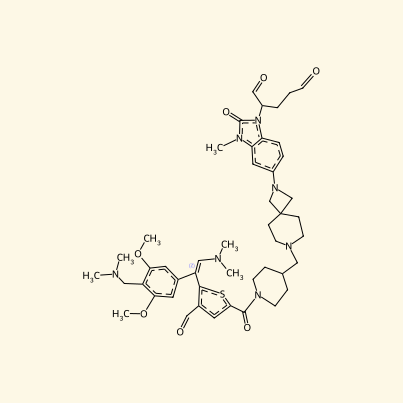 COc1cc(/C(=C/N(C)C)c2sc(C(=O)N3CCC(CN4CCC5(CC4)CN(c4ccc6c(c4)n(C)c(=O)n6C(C=O)CCC=O)C5)CC3)cc2C=O)cc(OC)c1CN(C)C